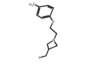 Cc1ccc(OCCN2CC(CF)C2)cc1